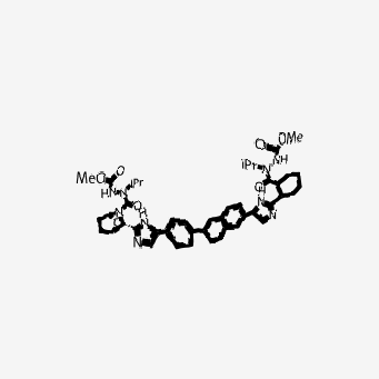 COC(=O)NN(C(=O)C1CCCCC1c1ncc(-c2ccc3cc(-c4ccc(-c5cnc([C@@H]6C7CCC(O7)N6C(=O)N(NC(=O)OC)C(C)C)[nH]5)cc4)ccc3c2)[nH]1)C(C)C